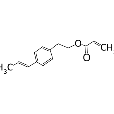 C=CC(=O)OCCc1ccc(C=CC)cc1